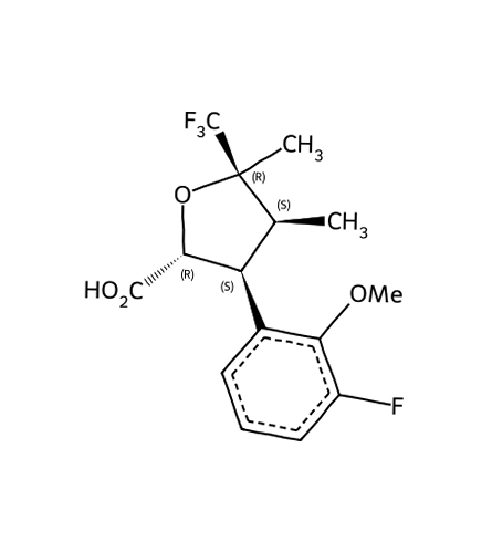 COc1c(F)cccc1[C@H]1[C@H](C(=O)O)O[C@@](C)(C(F)(F)F)[C@H]1C